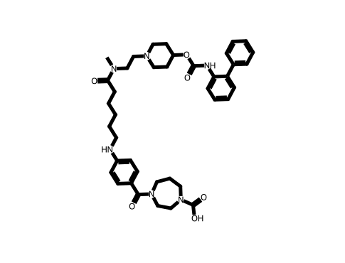 CN(CCN1CCC(OC(=O)Nc2ccccc2-c2ccccc2)CC1)C(=O)CCCCCNc1ccc(C(=O)N2CCCN(C(=O)O)CC2)cc1